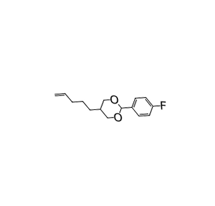 C=CCCCC1COC(c2ccc(F)cc2)OC1